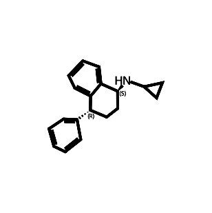 c1ccc([C@H]2CC[C@H](NC3CC3)c3ccccc32)cc1